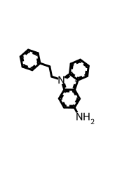 Nc1ccc2c(c1)c1ccccc1n2CCc1ccccc1